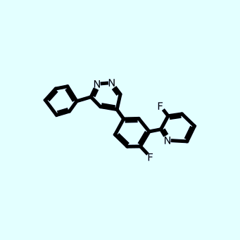 Fc1ccc(-c2cnnc(-c3ccccc3)c2)cc1-c1ncccc1F